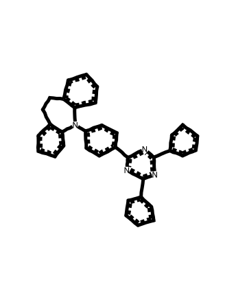 c1ccc(-c2nc(-c3ccccc3)nc(-c3ccc(N4c5ccccc5CCc5ccccc54)cc3)n2)cc1